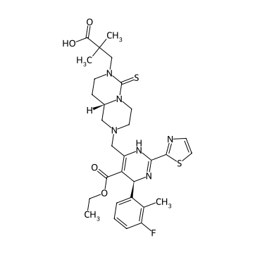 CCOC(=O)C1=C(CN2CCN3C(=S)N(CC(C)(C)C(=O)O)CC[C@H]3C2)NC(c2nccs2)=N[C@H]1c1cccc(F)c1C